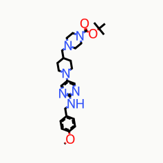 COc1ccc(CNc2ncc(N3CCC(CN4CCN(C(=O)OC(C)(C)C)CC4)CC3)cn2)cc1